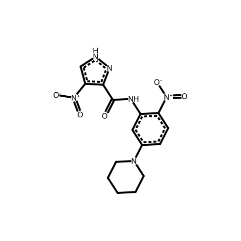 O=C(Nc1cc(N2CCCCC2)ccc1[N+](=O)[O-])c1n[nH]cc1[N+](=O)[O-]